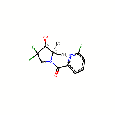 CC[C@@]1(C)[C@H](O)C(F)(F)CN1C(=O)c1cccc(Cl)n1